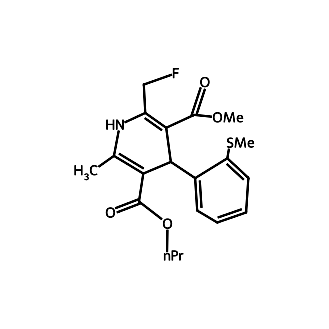 CCCOC(=O)C1=C(C)NC(CF)=C(C(=O)OC)C1c1ccccc1SC